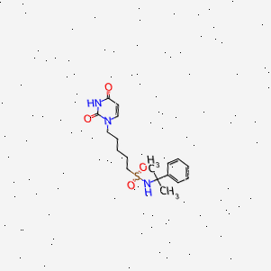 CC(C)(NS(=O)(=O)CCCCCn1ccc(=O)[nH]c1=O)c1ccccc1